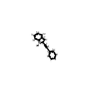 Cn1c(C#Cc2ccccc2)cc2ccccc21